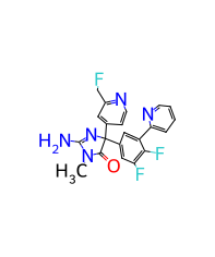 CN1C(=O)C(c2ccnc(CF)c2)(c2cc(F)c(F)c(-c3ccccn3)c2)N=C1N